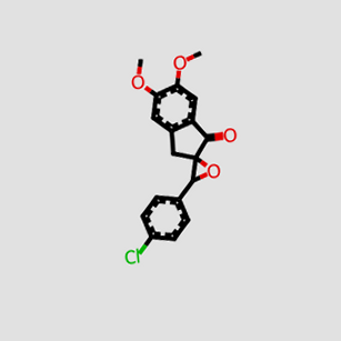 COc1cc2c(cc1OC)C(=O)C1(C2)OC1c1ccc(Cl)cc1